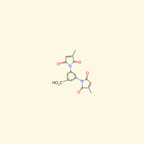 CC1=CC(=O)N(c2cc(C(=O)O)cc(N3C(=O)C=C(C)C3=O)c2)C1=O